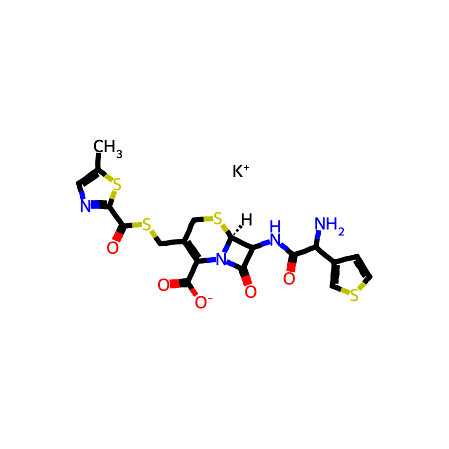 Cc1cnc(C(=O)SCC2=C(C(=O)[O-])N3C(=O)C(NC(=O)C(N)c4ccsc4)[C@@H]3SC2)s1.[K+]